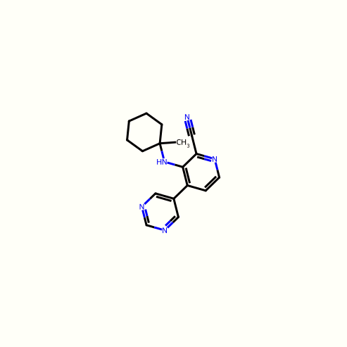 CC1(Nc2c(-c3cncnc3)ccnc2C#N)CCCCC1